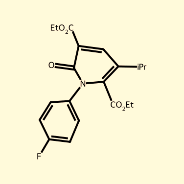 CCOC(=O)c1cc(C(C)C)c(C(=O)OCC)n(-c2ccc(F)cc2)c1=O